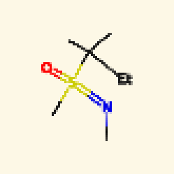 CCC(C)(C)S(C)(=O)=NC